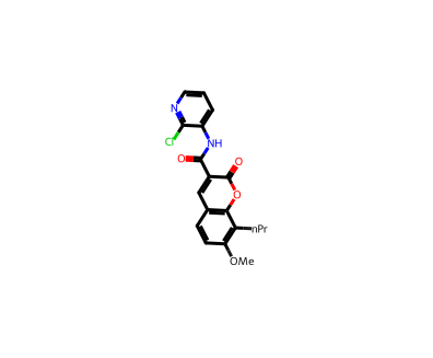 CCCc1c(OC)ccc2cc(C(=O)Nc3cccnc3Cl)c(=O)oc12